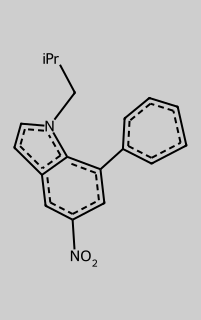 CC(C)Cn1ccc2cc([N+](=O)[O-])cc(-c3ccccc3)c21